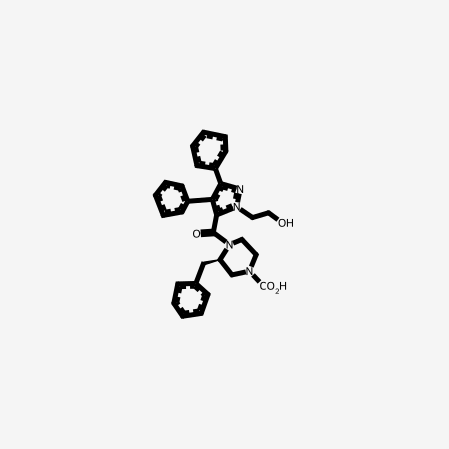 O=C(O)N1CCN(C(=O)c2c(-c3ccccc3)c(-c3ccccc3)nn2CCO)[C@H](Cc2ccccc2)C1